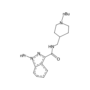 CCCCN1CCC(CNC(=O)c2nn(CCC)c3ccccc23)CC1